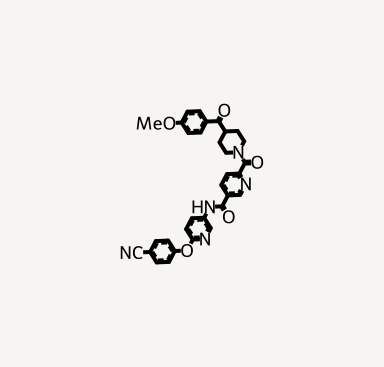 COc1ccc(C(=O)C2CCN(C(=O)c3ccc(C(=O)Nc4ccc(Oc5ccc(C#N)cc5)nc4)cn3)CC2)cc1